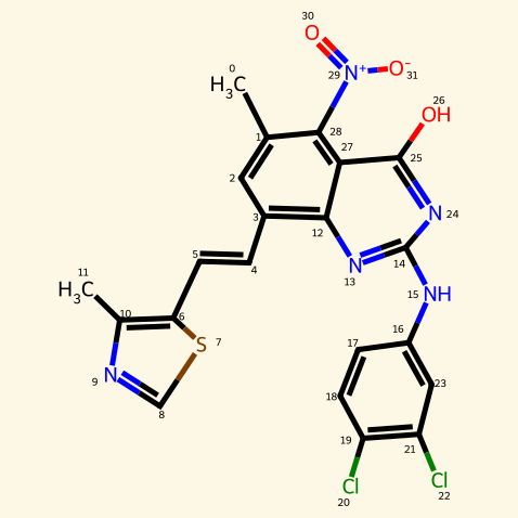 Cc1cc(C=Cc2scnc2C)c2nc(Nc3ccc(Cl)c(Cl)c3)nc(O)c2c1[N+](=O)[O-]